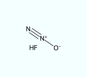 F.N#[N+][O-]